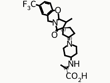 CC1C2Oc3ccc(C(F)(F)F)cc3CN2C(=O)[C@]12CC[C@@H](N1CCC(N[C@@H](C)C(=O)O)CC1)C2